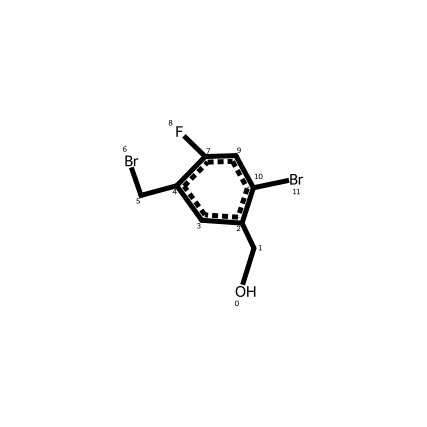 OCc1cc(CBr)c(F)cc1Br